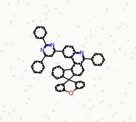 c1ccc(-c2cc(-c3ccc4nc(-c5ccccc5)c5ccc6c(c5c4c3)-c3ccccc3C63c4ccccc4Oc4ccccc43)nc(-c3ccccc3)n2)cc1